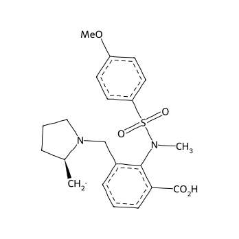 [CH2][C@H]1CCCN1Cc1cccc(C(=O)O)c1N(C)S(=O)(=O)c1ccc(OC)cc1